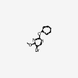 COc1nc(Oc2ccccc2)ncc1Br